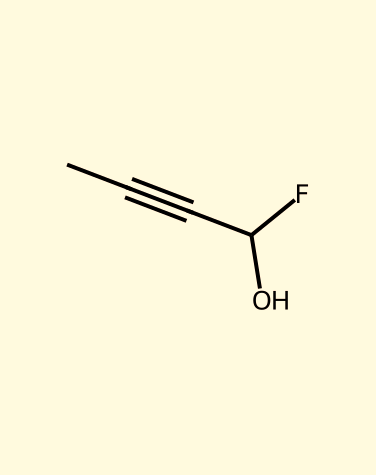 CC#CC(O)F